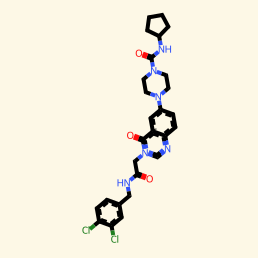 O=C(Cn1cnc2ccc(N3CCN(C(=O)NC4CCCC4)CC3)cc2c1=O)NCc1ccc(Cl)c(Cl)c1